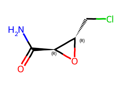 NC(=O)[C@@H]1O[C@H]1CCl